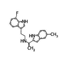 C=C(NCCc1c[nH]c2c(F)cccc12)c1cc2cc(C)ccc2[nH]1